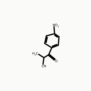 [CH2]C(C#N)C(=O)c1ccc([N+](=O)[O-])cc1